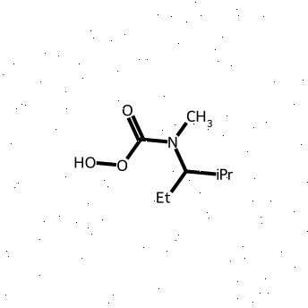 CCC(C(C)C)N(C)C(=O)OO